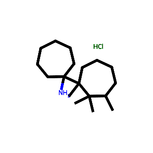 CC1CCCCC(C)(C2(N)CCCCCC2)C1(C)C.Cl